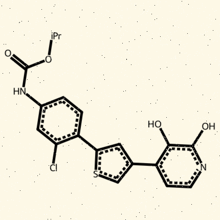 CC(C)OC(=O)Nc1ccc(-c2cc(-c3ccnc(O)c3O)cs2)c(Cl)c1